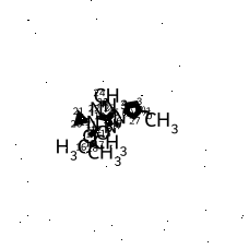 CC[C@@H]1C=C[C@H](n2cnc3c(N(C(=O)OC(C)(C)C)C4CC4)nc(C)nc32)C1